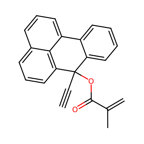 C#CC1(OC(=O)C(=C)C)c2ccccc2-c2cccc3cccc1c23